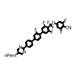 CCCCCc1cnc(-c2ccc(-c3ccc(-c4cc(F)c(C(F)(F)Oc5cc(F)c(C#N)c(F)c5)c(F)c4)c(F)c3)cc2)nc1